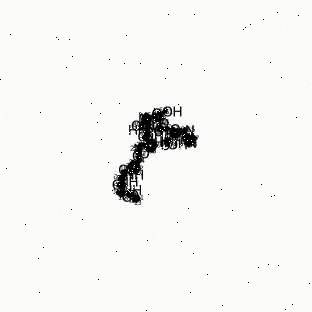 CC(NC(=O)C(NC(=O)OC(C)(C)C)C(C)C)C(=O)Nc1ccc(COC(=O)N(C)Cc2ccccc2C(=O)Nc2nc3c(ncn3[C@@H]3O[C@H](CO)C[C@H]3OS(=O)(=O)NC[C@H]3O[C@@H](n4cnc5cncnc54)[C@H](F)[C@@H]3O[PH](=O)O)c(=O)[nH]2)cc1